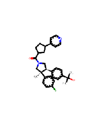 C[C@]1(c2ccc(F)cc2)CN(C(=O)C2CCC(c3ccncc3)C2)C[C@H]1c1ccc(C(O)(C(F)(F)F)C(F)(F)F)cc1